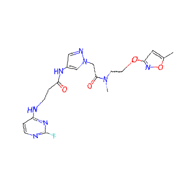 Cc1cc(OCCN(C)C(=O)Cn2cc(NC(=O)CCNc3ccnc(F)n3)cn2)no1